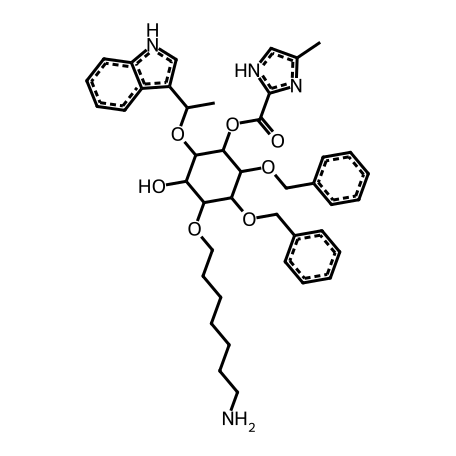 Cc1c[nH]c(C(=O)OC2C(OC(C)c3c[nH]c4ccccc34)C(O)C(OCCCCCCCN)C(OCc3ccccc3)C2OCc2ccccc2)n1